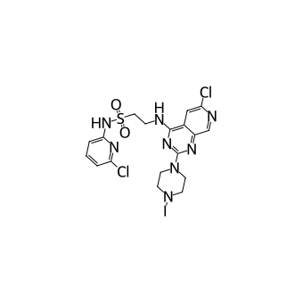 O=S(=O)(CCNc1nc(N2CCN(I)CC2)nc2cnc(Cl)cc12)Nc1cccc(Cl)n1